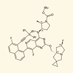 CC(C)[Si](C#Cc1c(F)ccc2cccc(-c3ncc4c(N(C)[C@@H]5CCN(C(=O)OC(C)(C)C)[C@@H]5C)nc(OC[C@]56C[C@@H](F)CN5CC5(CC5)C6)nc4c3F)c12)(C(C)C)C(C)C